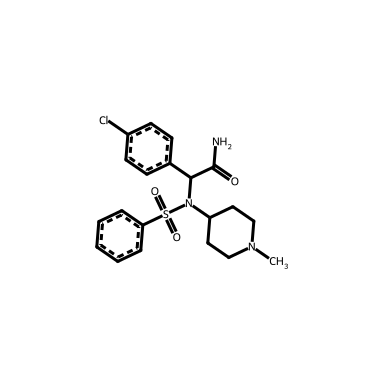 CN1CCC(N(C(C(N)=O)c2ccc(Cl)cc2)S(=O)(=O)c2ccccc2)CC1